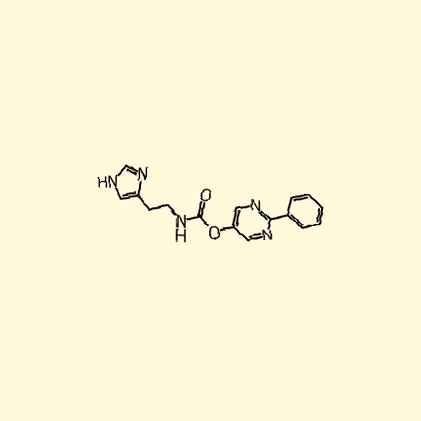 O=C(NCCc1c[nH]cn1)Oc1cnc(-c2ccccc2)nc1